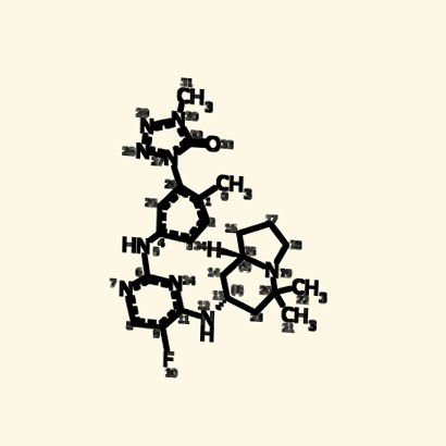 Cc1ccc(Nc2ncc(F)c(N[C@@H]3C[C@@H]4CCCN4C(C)(C)C3)n2)cc1-n1nnn(C)c1=O